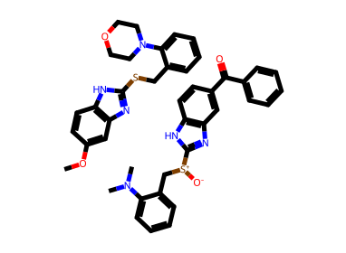 CN(C)c1ccccc1C[S+]([O-])c1nc2cc(C(=O)c3ccccc3)ccc2[nH]1.COc1ccc2[nH]c(SCc3ccccc3N3CCOCC3)nc2c1